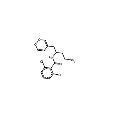 NCCC(CC1=COOC=C1)NC(=O)c1c(Cl)cccc1Cl